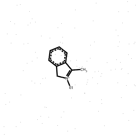 CC[N+]1=C(C)c2ccccc2C1